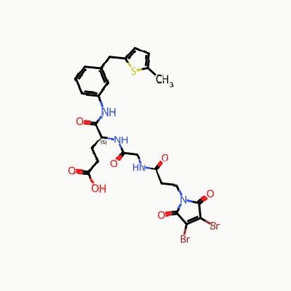 Cc1ccc(Cc2cccc(NC(=O)[C@H](CCC(=O)O)NC(=O)CNC(=O)CCN3C(=O)C(Br)=C(Br)C3=O)c2)s1